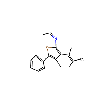 C/C=N\c1sc(-c2ccccc2)c(C)c1/C(C)=C(\C)CC